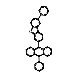 c1ccc(-c2ccc3oc4cc(-c5c6ccccc6c(-c6ccccc6)c6ccccc56)ccc4c3c2)cc1